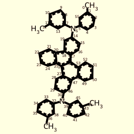 Cc1cccc(N(c2cccc(C)c2)c2ccc3c(c2)c2ccccc2c2c4ccc(N(c5cccc(C)c5)c5cccc(C)c5)cc4c4ccccc4c32)c1